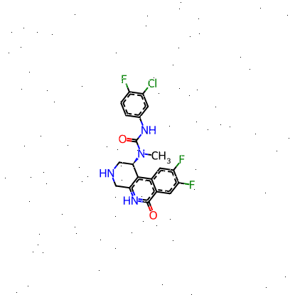 CN(C(=O)Nc1ccc(F)c(Cl)c1)[C@@H]1CNCc2[nH]c(=O)c3cc(F)c(F)cc3c21